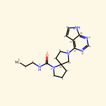 N#CCCNC(=O)N1CCCC12CCN(c1ncnc3[nH]ccc13)C2